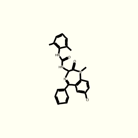 Cc1cccc(C)c1NC(=O)NC1N=C(c2ccccc2)c2cc(Cl)ccc2N(C)C1=O